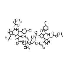 COC(=O)CC1N=C(c2ccc(Cl)cc2)c2c(sc(C(=O)NCC(C)(C)COCC(C)(C)CNC(=O)c3sc4c(c3C)C(c3ccc(Cl)cc3)=NC(CC(=O)OC)c3nnc(C)n3-4)c2C)-n2c(C)nnc21